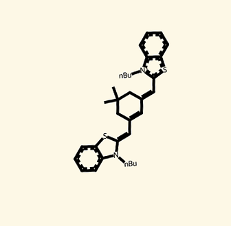 CCCCN1/C(=C/C2=CC(=C/c3sc4ccccc4[n+]3CCCC)/CC(C)(C)C2)Sc2ccccc21